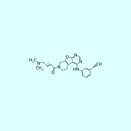 C#Cc1cccc(Nc2ncnc3oc4c(c23)CCN(C(=O)/C=C/CN(C)C)C4)c1